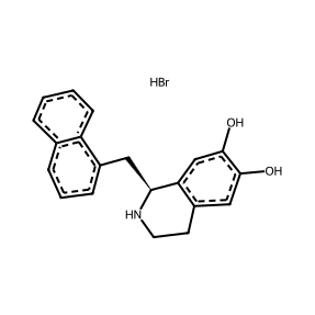 Br.Oc1cc2c(cc1O)[C@H](Cc1cccc3ccccc13)NCC2